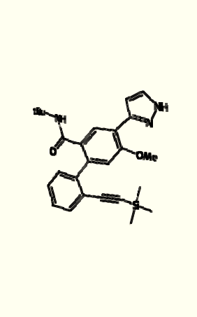 COc1cc(-c2ccccc2C#C[Si](C)(C)C)c(C(=O)NC(C)(C)C)cc1-c1cc[nH]n1